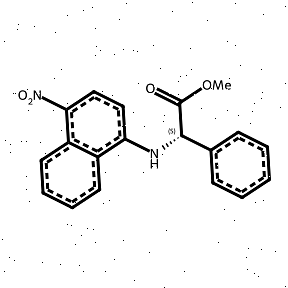 COC(=O)[C@@H](Nc1ccc([N+](=O)[O-])c2ccccc12)c1ccccc1